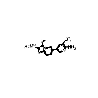 CC(=O)Nc1nc2ccc(-c3cnc(N)c(C(F)(F)F)c3)cn2c1Br